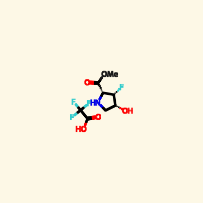 COC(=O)[C@H]1NC[C@@H](O)[C@H]1F.O=C(O)C(F)(F)F